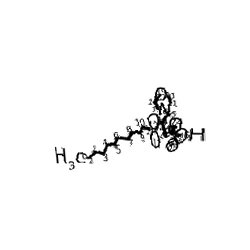 CCCCCCCCCCCC(=O)OC(CN1CCOCC1)CS(=O)(=O)O